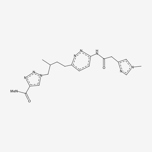 CNC(=O)c1cn(CC(C)CCc2ccc(NC(=O)Cc3cn(C)cn3)nn2)nn1